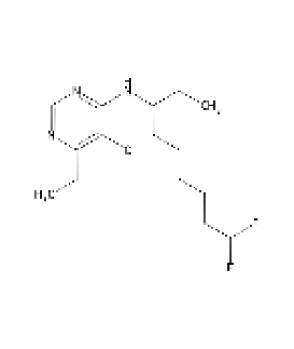 CCc1ncnc(NC(CC)CCCCCC(F)F)c1Cl